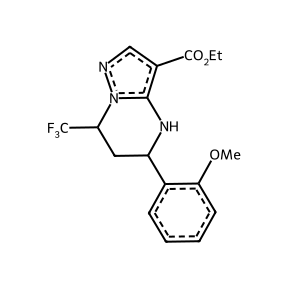 CCOC(=O)c1cnn2c1NC(c1ccccc1OC)CC2C(F)(F)F